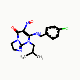 CC(C)CN1C2=NCCN2C(=O)C(N=O)=C1NCc1ccc(Cl)cc1